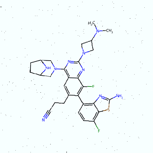 CN(C)C1CN(c2nc(N3CC4CCC(C3)N4)c3cc(CCC#N)c(-c4ccc(F)c5sc(N)nc45)c(F)c3n2)C1